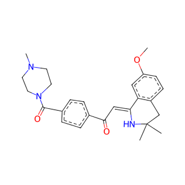 COc1ccc2c(c1)/C(=C/C(=O)c1ccc(C(=O)N3CCN(C)CC3)cc1)NC(C)(C)C2